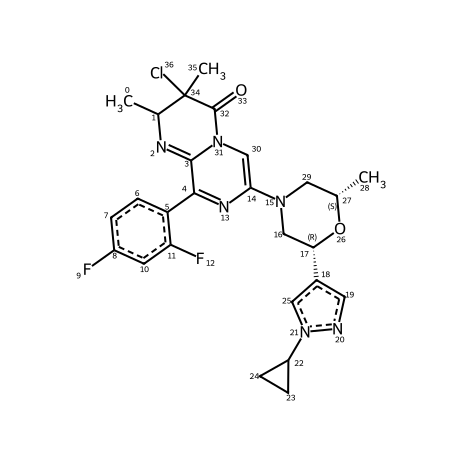 CC1N=C2C(c3ccc(F)cc3F)=NC(N3C[C@@H](c4cnn(C5CC5)c4)O[C@@H](C)C3)=CN2C(=O)C1(C)Cl